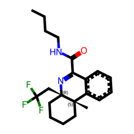 CCCCNC(=O)C1=N[C@@]2(CC(F)(F)F)CCCC[C@@]2(C)c2ccccc21